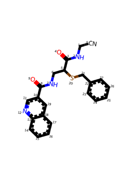 N#CCNC(=O)C(CNC(=O)c1cnc2ccccc2c1)SCc1ccccc1